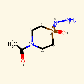 CC(=O)N1CCS(=O)(=NN)CC1